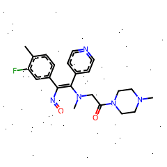 Cc1ccc(/C(N=O)=C(\c2ccncc2)N(C)CC(=O)N2CCN(C)CC2)cc1F